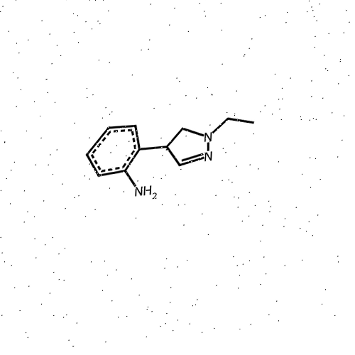 CCN1C[C](c2ccccc2N)C=N1